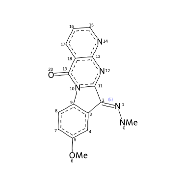 CN/N=C1\c2cc(OC)ccc2-n2c1nc1ncccc1c2=O